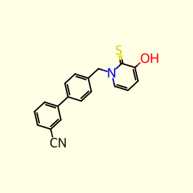 N#Cc1cccc(-c2ccc(Cn3cccc(O)c3=S)cc2)c1